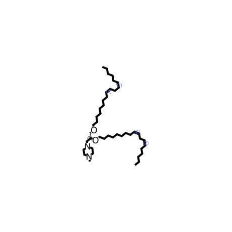 CCCCC/C=C\C/C=C\CCCCCCCCOC[C@@H](CN1CCN(C)CC1)OCCCCCCCC/C=C\C/C=C\CCCCC